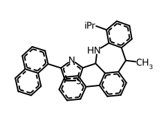 CC(C)c1cccc2c1NC(c1nc(-c3cccc4ccccc34)cs1)c1c(-c3ccccc3)cccc1C2C